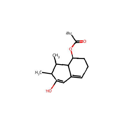 CCC(C)C(=O)OC1CCC=C2C=C(O)C(C)C(C)C21